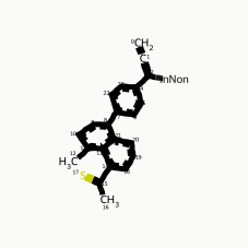 C=C=C(CCCCCCCCC)c1ccc(-c2ccc(C)c3c(C(C)=S)cccc23)cc1